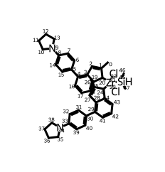 CC1=Cc2c(-c3ccc(N4CCCC4)cc3)cccc2[CH]1[Zr]([Cl])([Cl])([CH]1C(C)=Cc2c(-c3ccc(N4CCCC4)cc3)cccc21)[SiH](C)C